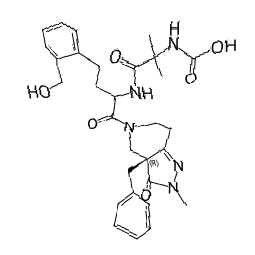 CN1N=C2CCN(C(=O)C(CCc3ccccc3CO)NC(=O)C(C)(C)NC(=O)O)C[C@@]2(Cc2ccccc2)C1=O